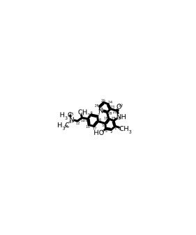 Cc1cc(O)c(-c2ccc(C(C)CN(C)C)cc2)c2c1[nH]c(=O)c1cccnc12